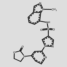 Cn1ncc2cccc(NS(=O)(=O)c3cnn(-c4cc(N5CCOC5=O)ccn4)c3)c21